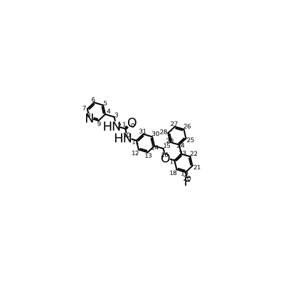 O=C(NCc1cccnc1)Nc1ccc(COc2cc(F)ccc2-c2ccccc2)cc1